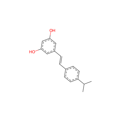 CC(C)c1ccc(C=Cc2cc(O)cc(O)c2)cc1